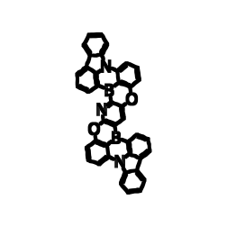 c1cc2c3c(c1)-n1c4ccccc4c4cccc(c41)B3c1cc3c(nc1O2)B1c2c(cccc2-n2c4ccccc4c4cccc1c42)O3